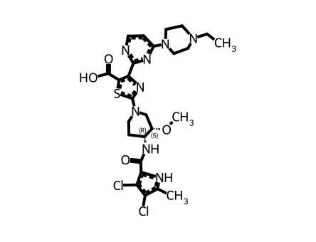 CCN1CCN(c2ccnc(-c3nc(N4CC[C@@H](NC(=O)c5[nH]c(C)c(Cl)c5Cl)[C@@H](OC)C4)sc3C(=O)O)n2)CC1